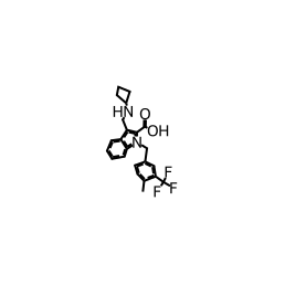 Cc1ccc(Cn2c(C(=O)O)c(CNC3CCC3)c3ccccc32)cc1C(F)(F)F